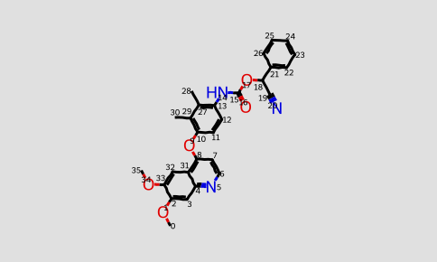 COc1cc2nccc(Oc3ccc(NC(=O)OC(C#N)c4ccccc4)c(C)c3C)c2cc1OC